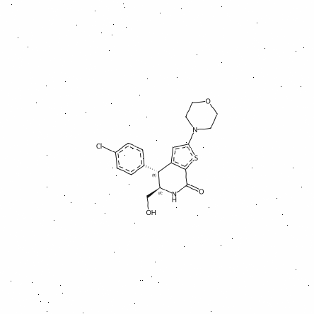 O=C1N[C@@H](CO)[C@H](c2ccc(Cl)cc2)c2cc(N3CCOCC3)sc21